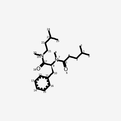 CC(C)CCC(=O)N(C)[C@@H](Cc1ccccc1)C(=O)N(C)CCC(C)C